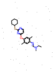 CCN(C)/C=N/c1cc(C)c(Oc2ccnc(SC3CCCCC3)n2)cc1C